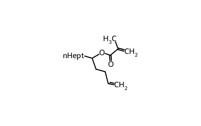 C=CCCC(CCCCCCC)OC(=O)C(=C)C